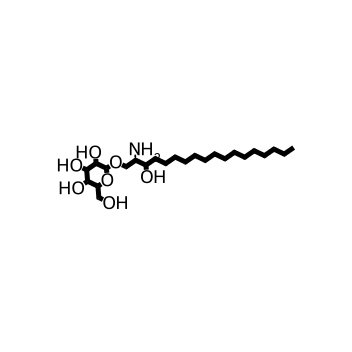 CCCCCCCCCCCCCCCC(O)[C@@H](N)COC1OC(CO)C(O)C(O)C1O